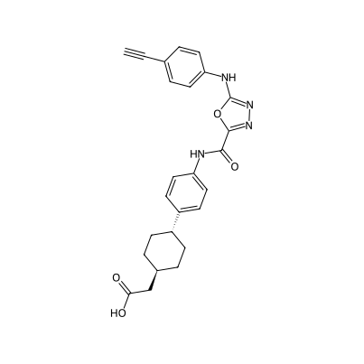 C#Cc1ccc(Nc2nnc(C(=O)Nc3ccc([C@H]4CC[C@H](CC(=O)O)CC4)cc3)o2)cc1